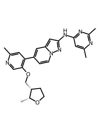 Cc1cc(-c2ccn3nc(Nc4cc(C)nc(C)n4)cc3c2)c(OC[C@@H]2CCO[C@@H]2C)cn1